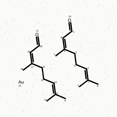 CC(C)=CCC/C(C)=C\C=O.CC(C)=CCC/C(C)=C\C=O.[Au]